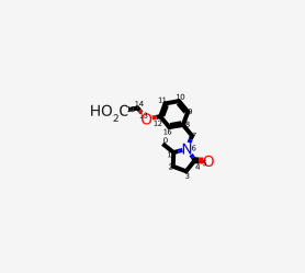 CC1CCC(=O)N1Cc1cccc(OCC(=O)O)c1